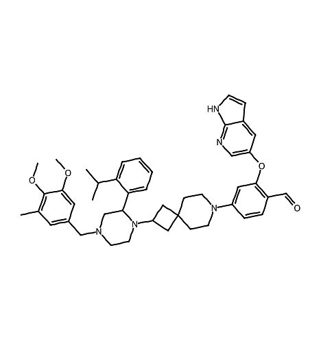 COc1cc(CN2CCN(C3CC4(CCN(c5ccc(C=O)c(Oc6cnc7[nH]ccc7c6)c5)CC4)C3)C(c3ccccc3C(C)C)C2)cc(C)c1OC